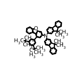 CC(C)(C)c1cc(-c2cc(N(c3ccc4c(c3)C(C)(C)c3ccccc3-4)c3ccc4c(c3)C(C)(C)c3ccccc3-4)cc3oc4ccccc4c23)cc(C(C)(C)C)c1